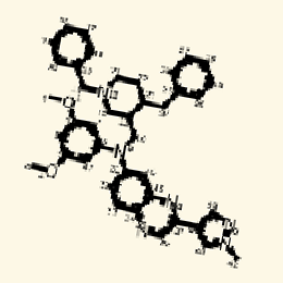 COc1cc(OC)cc(N(CC2CN(Cc3ccccc3)CCC2Cc2ccccc2)c2ccc3ncc(-c4cnn(C)c4)nc3c2)c1